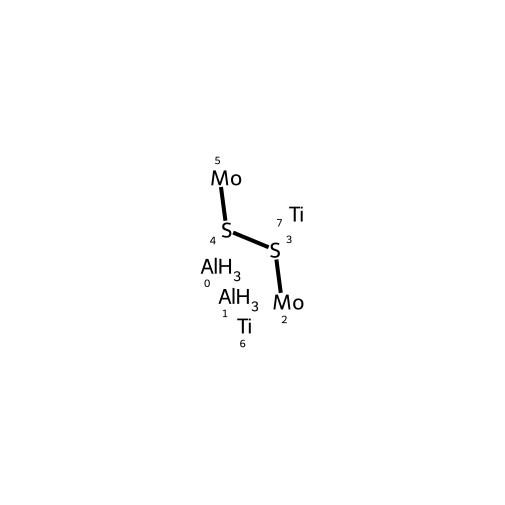 [AlH3].[AlH3].[Mo][S][S][Mo].[Ti].[Ti]